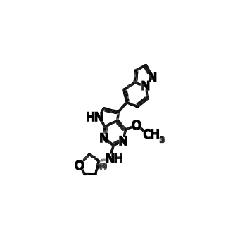 COc1nc(N[C@@H]2CCOC2)nc2[nH]cc(-c3ccn4nccc4c3)c12